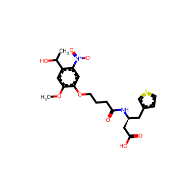 COc1cc(C(C)O)c([N+](=O)[O-])cc1OCCCC(=O)N[C@H](CC(=O)O)Cc1ccsc1